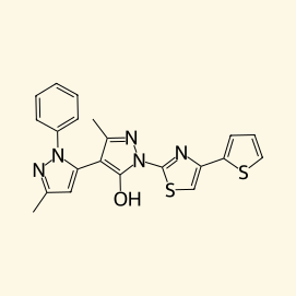 Cc1cc(-c2c(C)nn(-c3nc(-c4cccs4)cs3)c2O)n(-c2ccccc2)n1